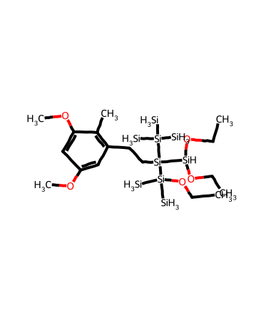 CCO[SiH](OCC)[Si](CCc1cc(OC)cc(OC)c1C)([Si]([SiH3])([SiH3])[SiH3])[Si]([SiH3])([SiH3])OCC